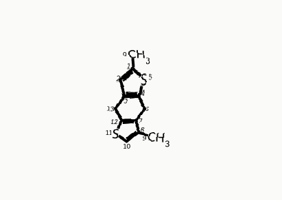 Cc1cc2c(s1)Cc1c(C)csc1C2